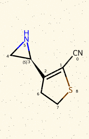 N#CC1=C([C@H]2CN2)CCS1